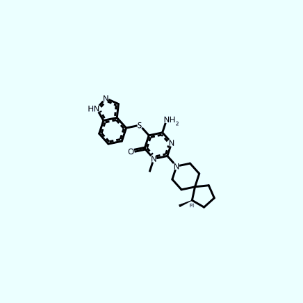 C[C@@H]1CCCC12CCN(c1nc(N)c(Sc3cccc4[nH]ncc34)c(=O)n1C)CC2